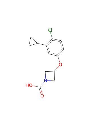 O=C(O)N1CC(Oc2ccc(Cl)c(C3CC3)c2)C1